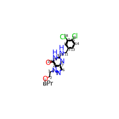 [CH2]CCOCCn1ncc2nc(NCc3ccc(Cl)c(Cl)c3)[nH]c(=O)c21